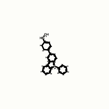 OBC1=CC=C(c2ccc3c(c2)c2ccccc2n3-c2ccccc2)CC1